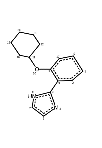 c1ccc(-c2ncc[nH]2)c(OC2CCCCC2)c1